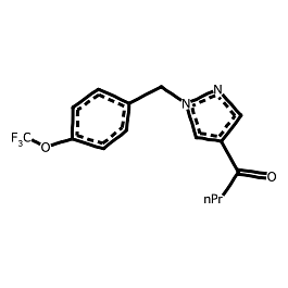 CCCC(=O)c1cnn(Cc2ccc(OC(F)(F)F)cc2)c1